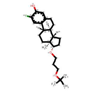 CC(OCCCO[C@H]1CC[C@H]2[C@@H]3CCc4cc(O)c(F)cc4[C@H]3CC[C@]12C)(C(F)(F)F)C(F)(F)F